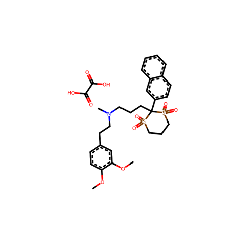 COc1ccc(CCN(C)CCCC2(c3ccc4ccccc4c3)S(=O)(=O)CCCS2(=O)=O)cc1OC.O=C(O)C(=O)O